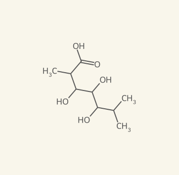 CC(C)C(O)C(O)C(O)C(C)C(=O)O